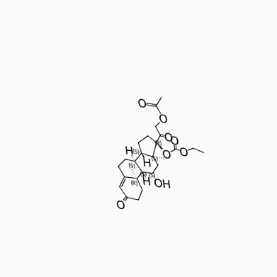 CCOC(=O)O[C@]1(C(=O)COC(C)=O)CC[C@H]2[C@@H]3CCC4=CC(=O)CC[C@]4(C)[C@H]3[C@@H](O)C[C@@]21C